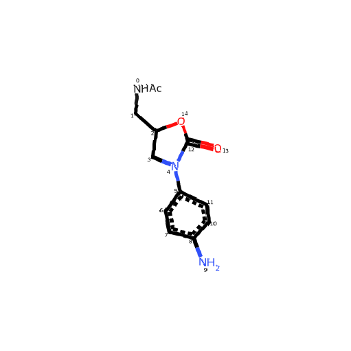 CC(=O)NCC1CN(c2ccc(N)cc2)C(=O)O1